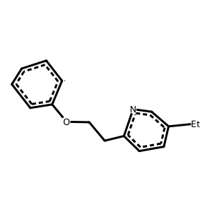 CCc1ccc(CCOc2[c]cccc2)nc1